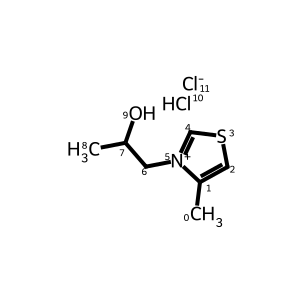 Cc1csc[n+]1CC(C)O.Cl.[Cl-]